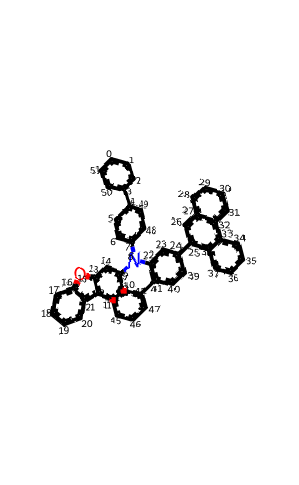 c1ccc(-c2ccc(N(c3ccc4c(c3)oc3ccccc34)c3cc(-c4cc5ccccc5c5ccccc45)ccc3-c3ccccc3)cc2)cc1